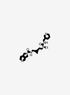 CCN(CCC1CC1CNC(=O)N1Cc2ccncc2C1)C(=O)NCC1=CCCN=C1